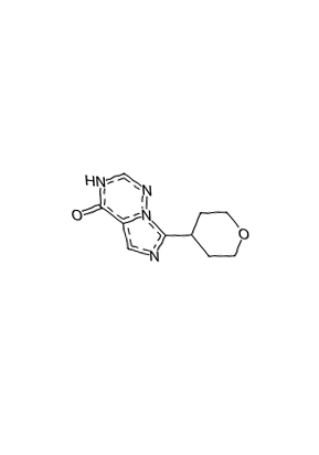 O=c1[nH]cnn2c(C3CCOCC3)ncc12